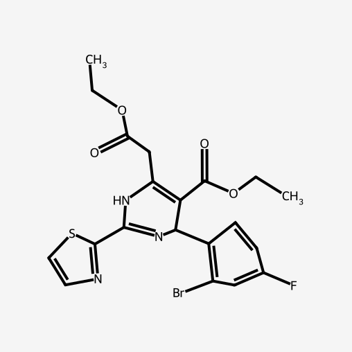 CCOC(=O)CC1=C(C(=O)OCC)C(c2ccc(F)cc2Br)N=C(c2nccs2)N1